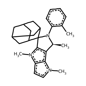 Cc1ccccc1N1[C@@H](C)c2c(n(C)c3ccn(C)c23)C12C1CC3CC(C1)CC2C3